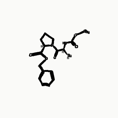 CC[C@H](C)[C@H](NC(=O)OC(C)(C)C)C(=O)N1CCC[C@@H]1C(=O)OCc1ccccc1